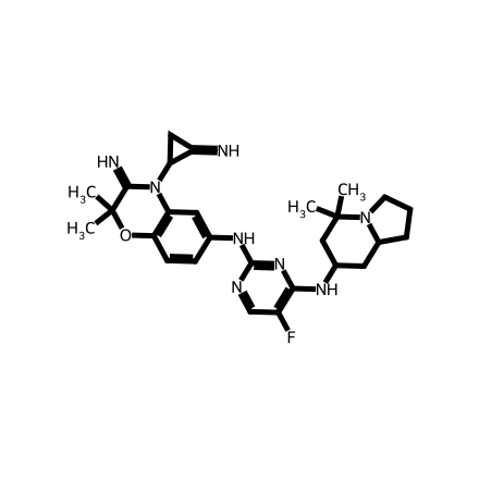 CC1(C)Oc2ccc(Nc3ncc(F)c(NC4CC5CCCN5C(C)(C)C4)n3)cc2N(C2CC2=N)C1=N